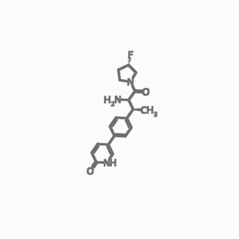 C[C@@H](c1ccc(-c2ccc(=O)[nH]c2)cc1)C(N)C(=O)N1CC[C@H](F)C1